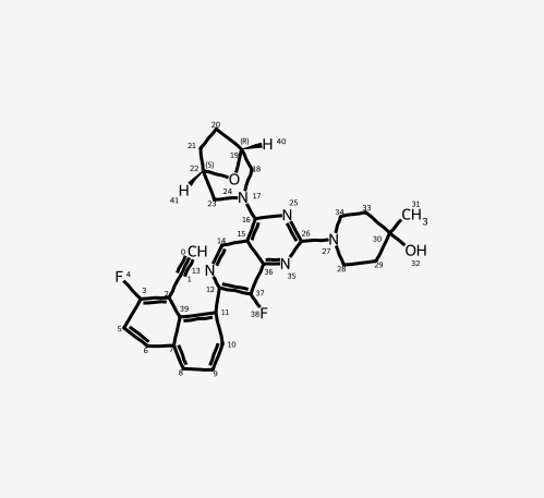 C#Cc1c(F)ccc2cccc(-c3ncc4c(N5C[C@H]6CC[C@@H](C5)O6)nc(N5CCC(C)(O)CC5)nc4c3F)c12